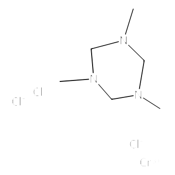 CN1CN(C)CN(C)C1.[Cl-].[Cl-].[Cl-].[Cr+3]